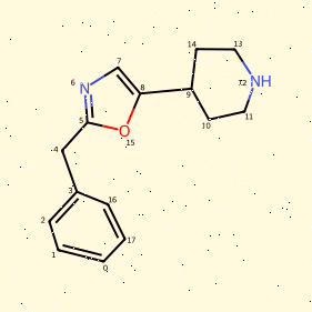 c1ccc(Cc2ncc(C3CCNCC3)o2)cc1